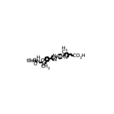 Cc1cc(/C=C/C(=O)O)cnc1N1CCN(c2ncc(-c3cccc(CN(C)C(=O)CNC(=O)OC(C)(C)C)c3)cn2)CC1